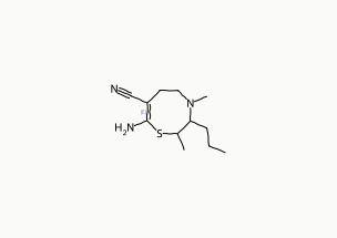 CCCC1C(C)S/C(N)=C(/C#N)CCN1C